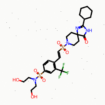 O=C1NC(C2CCCCC2)=NC12CCN(S(=O)(=O)C=Cc1ccc(S(=O)(=O)N(CCO)CCO)cc1C(F)(F)F)CC2